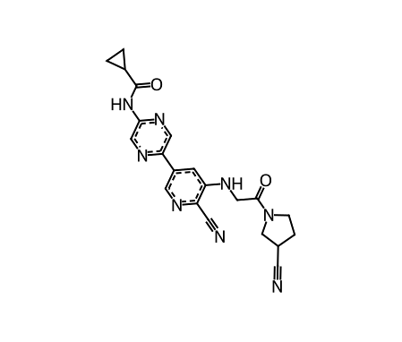 N#Cc1ncc(-c2cnc(NC(=O)C3CC3)cn2)cc1NCC(=O)N1CCC(C#N)C1